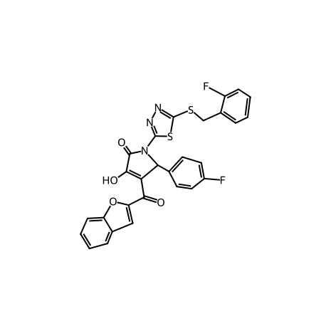 O=C(C1=C(O)C(=O)N(c2nnc(SCc3ccccc3F)s2)C1c1ccc(F)cc1)c1cc2ccccc2o1